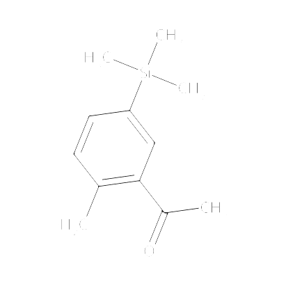 [CH2]c1ccc([Si](C)(C)C)cc1C(C)=O